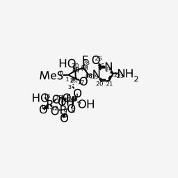 CSC1[C@]2(COP(=O)(O)OP(=O)(O)OP(=O)(O)O)O[C@@H](n3ccc(N)nc3=O)[C@H](F)[C@@]12O